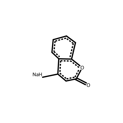 Cc1cc(=O)oc2ccccc12.[NaH]